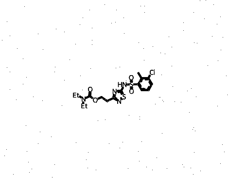 CCN(CC)C(=O)OCCc1nsc(NS(=O)(=O)c2cccc(Cl)c2C)n1